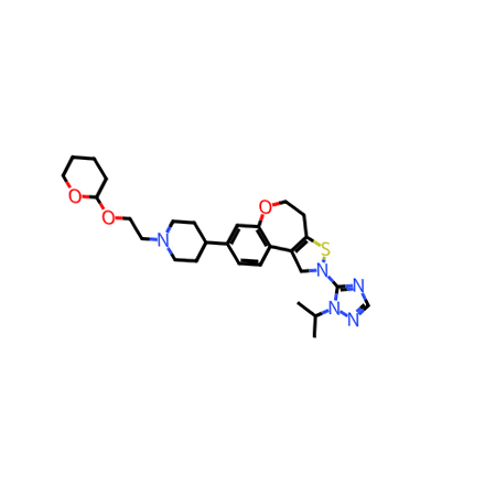 CC(C)n1ncnc1N1CC2=C(CCOc3cc(C4CCN(CCOC5CCCCO5)CC4)ccc32)S1